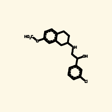 O=C(O)Oc1ccc2c(c1)CC(NCC(O)c1cccc(Cl)c1)CC2